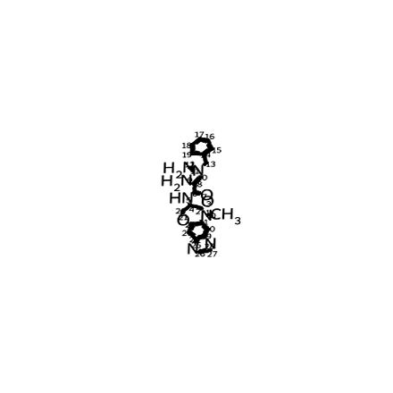 CN1C(=O)C(NC(=O)/C(N)=C/N(N)Cc2ccccc2)COc2cc3nccnc3cc21